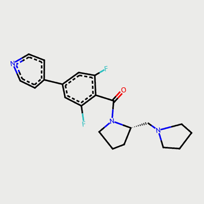 O=C(c1c(F)cc(-c2ccncc2)cc1F)N1CCC[C@H]1CN1CCCC1